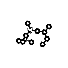 c1ccc(-c2cccc(-c3cc(-c4ccccc4)cc(-c4ccc(-c5nc(-c6ccccc6)nc(-c6ccc7c8c9ccccc9ccc8n(-c8ccccc8)c7c6)n5)cc4)c3)c2)cc1